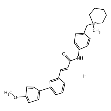 COc1ccc(-c2cccc(/C=C/C(=O)Nc3ccc(C[N+]4(C)CCCCC4)cc3)c2)cc1.[I-]